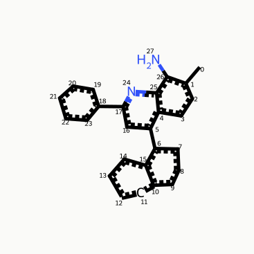 Cc1ccc2c(-c3cccc4ccccc34)cc(-c3ccccc3)nc2c1N